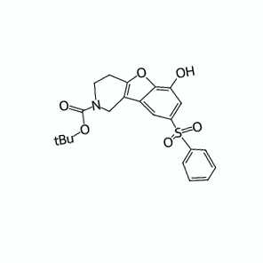 CC(C)(C)OC(=O)N1CCc2oc3c(O)cc(S(=O)(=O)c4ccccc4)cc3c2C1